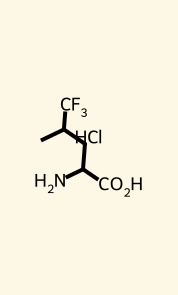 CC(CC(N)C(=O)O)C(F)(F)F.Cl